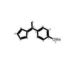 COc1ccc(C(C)=C2C=CC=C2)cc1